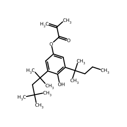 C=C(C)C(=O)Oc1cc(C(C)(C)CCC)c(O)c(C(C)(C)CC(C)(C)C)c1